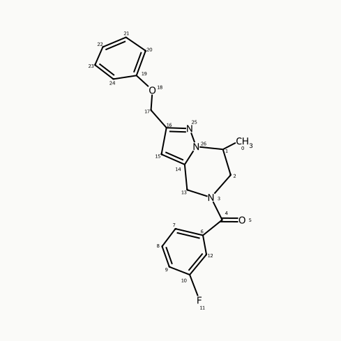 CC1CN(C(=O)c2cccc(F)c2)Cc2cc(COc3ccccc3)nn21